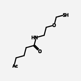 CC(=O)CCCC(=O)NCCOCS